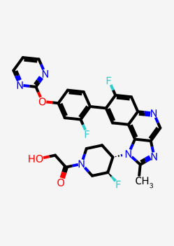 Cc1nc2cnc3cc(F)c(-c4ccc(Oc5ncccn5)cc4F)cc3c2n1[C@H]1CCN(C(=O)CO)C[C@@H]1F